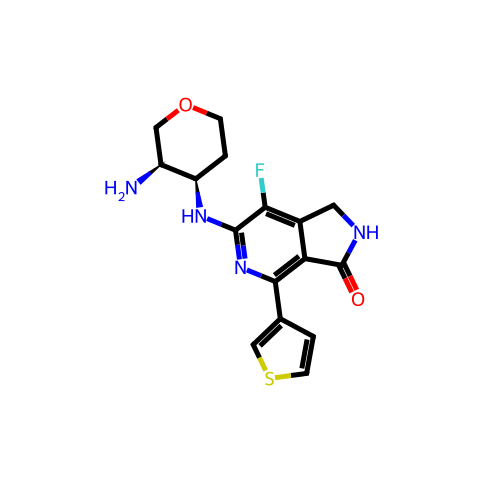 N[C@H]1COCC[C@H]1Nc1nc(-c2ccsc2)c2c(c1F)CNC2=O